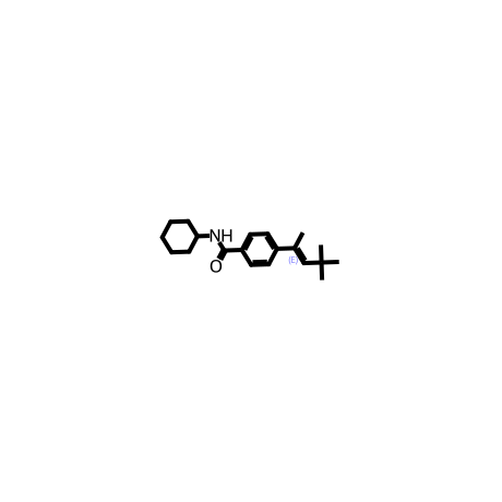 C/C(=C\C(C)(C)C)c1ccc(C(=O)NC2CCCCC2)cc1